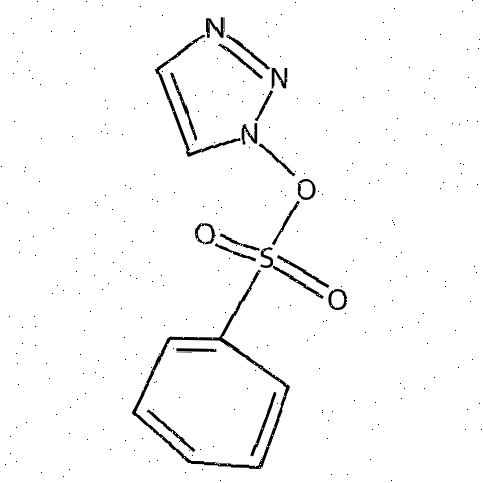 O=S(=O)(On1ccnn1)c1ccccc1